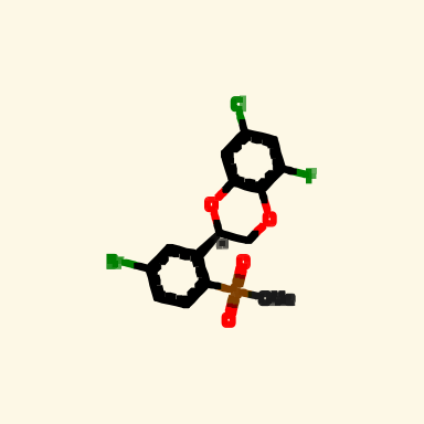 COS(=O)(=O)c1ccc(Br)cc1[C@@H]1COc2c(F)cc(Cl)cc2O1